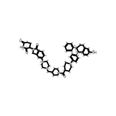 O=C1CCC(N2Cc3cc(N4CCN(CC5CCN(C(=O)C6CCN(c7ccc([C@@H]8c9ccc(O)cc9CC[C@@H]8c8ccccc8)cc7)CC6)CC5)CC4)ccc3C2=O)C(=O)N1